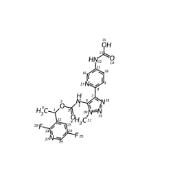 CC(OC(=O)Nc1c(-c2ccc(NC(=O)O)cn2)nnn1C)c1cc(F)cnc1F